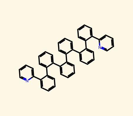 c1ccc(-c2ccccc2-c2ccccc2-c2ccccc2-c2ccccc2-c2ccccc2-c2ccccc2-c2ccccn2)nc1